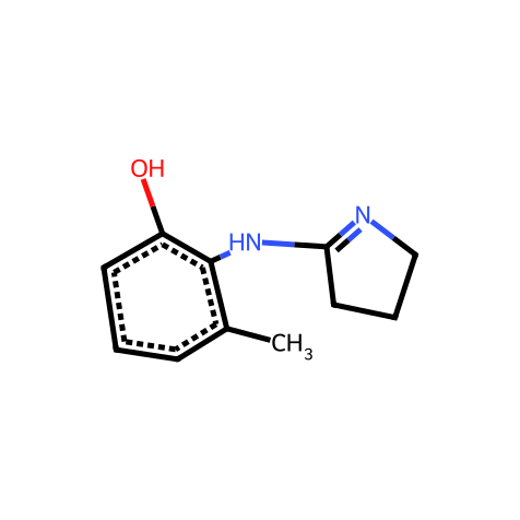 Cc1cccc(O)c1NC1=NCCC1